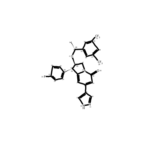 C[C@@H](O[C@H]1Cn2c(cc(-c3cn[nH]c3)cc2=O)[C@@H]1c1ccc(F)cc1)c1cc(C(F)(F)F)cc(C(F)(F)F)c1